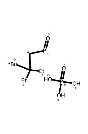 CCCCC(CC)(CC)CP=O.O=P(O)(O)O